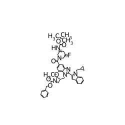 COc1cc(C(=O)N2C[C@H](F)C[C@@H](NC(=O)OC(C)(C)C)C2)cc2nc(-c3cc4ccccc4n3CC3CC3)n(CC3CN(C(=O)OCc4ccccc4)C3)c12